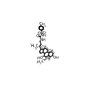 CC[C@@H]1[C@@H]2[C@@H](F)[C@H](O)CC[C@]2(C)C2CC[C@@]3(C)C(CCC3[C@H](C)CCNC(=O)NS(=O)(=O)c3ccc(C)cc3)C2[C@@H]1O